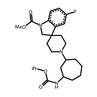 COC(=O)N1CC2(CCN(C3CCCCC(NC(=O)OC(C)C)C3)CC2)c2cc(F)ccc21